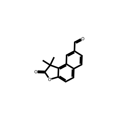 CC1(C)C(=O)Oc2ccc3ccc(C=O)cc3c21